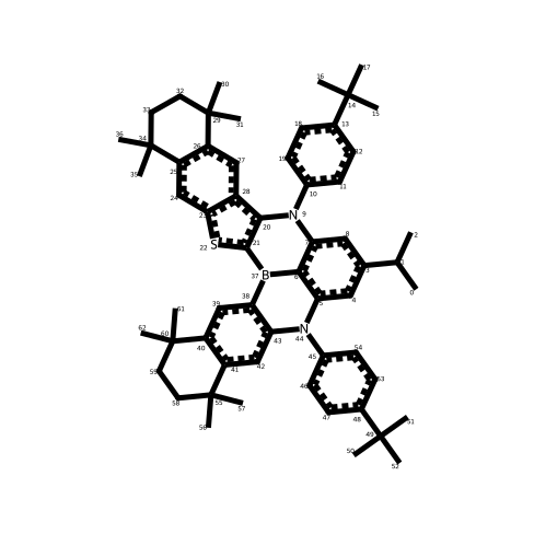 CC(C)c1cc2c3c(c1)N(c1ccc(C(C)(C)C)cc1)c1c(sc4cc5c(cc14)C(C)(C)CCC5(C)C)B3c1cc3c(cc1N2c1ccc(C(C)(C)C)cc1)C(C)(C)CCC3(C)C